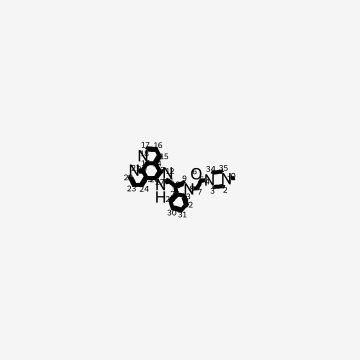 CN1CCN(C(=O)Cn2cc(-c3nc4c5cccnc5c5ncccc5c4[nH]3)c3ccccc32)CC1